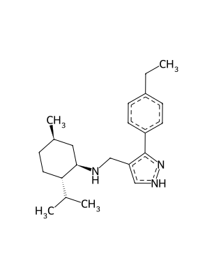 CCc1ccc(-c2n[nH]cc2CN[C@@H]2C[C@H](C)CC[C@H]2C(C)C)cc1